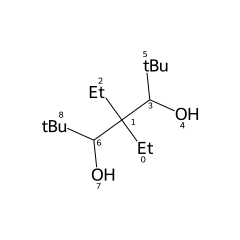 CCC(CC)(C(O)C(C)(C)C)C(O)C(C)(C)C